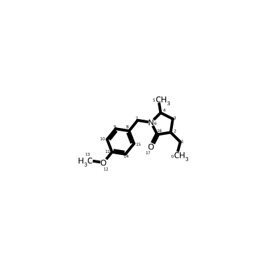 CCC1CC(C)N(Cc2ccc(OC)cc2)C1=O